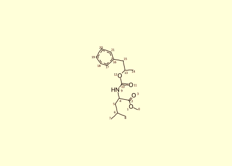 COC(=O)C(CC(C)C)NC(=O)OC(C)Cc1ccccc1